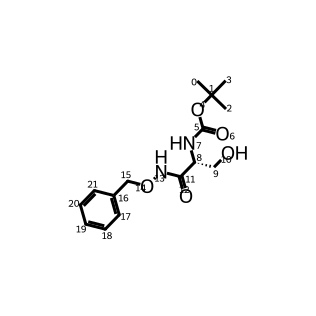 CC(C)(C)OC(=O)N[C@H](CO)C(=O)NOCc1ccccc1